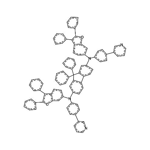 c1ccc(-c2oc3cc(N(c4ccc(-c5cccnc5)cc4)c4ccc5c(c4)C(c4ccccc4)(c4ccccc4)c4cc(N(c6ccc(-c7cccnc7)cc6)c6ccc7c(-c8ccccc8)c(-c8ccccc8)oc7c6)ccc4-5)ccc3c2-c2ccccc2)cc1